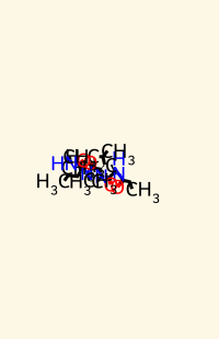 CCC(=O)N[C@H](C)C(=O)N(C)[C@@H](CC(C)C)C(=O)N(C)C(CC(C)C)C(=O)NC